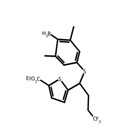 Bc1c(C)cc(SC(CCC(F)(F)F)c2ccc(C(=O)OCC)s2)cc1C